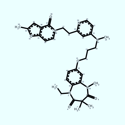 CCN1C(=O)C(C)(C)C(=O)N(C)c2cc(OCCCN(C)c3ccnc(CCn4ccc5oc(C)cc5c4=O)c3)ccc21